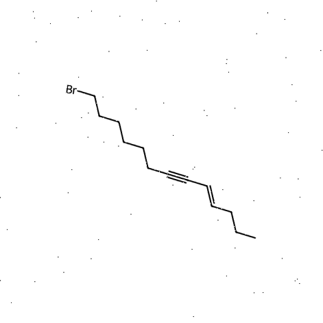 CCCC=CC#CCCCCCCBr